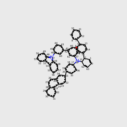 C1=CC(c2ccc(-c3ccccc3)cc2)C(N(c2ccc(-c3ccc4c(ccc5ccccc54)c3)cc2)c2cccc(-c3cccc(-n4c5ccccc5c5ccccc54)c3)c2)C=C1